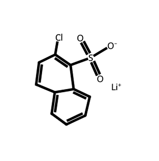 O=S(=O)([O-])c1c(Cl)ccc2ccccc12.[Li+]